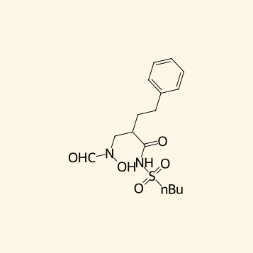 CCCCS(=O)(=O)NC(=O)C(CCc1ccccc1)CN(O)C=O